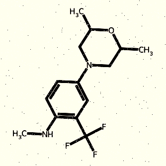 CNc1ccc(N2CC(C)OC(C)C2)cc1C(F)(F)F